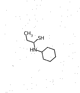 CCC(S)NC1CCCCC1